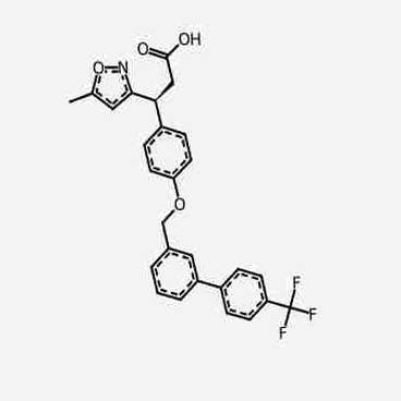 Cc1cc([C@@H](CC(=O)O)c2ccc(OCc3cccc(-c4ccc(C(F)(F)F)cc4)c3)cc2)no1